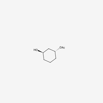 CC(=O)O[C@@H]1CCC[C@@H](O)C1